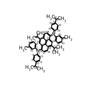 Cc1cccc(N(c2ccc(C(C)C)cc2)c2ccc3c(C(C)C)cc4c(N(c5ccc(C(C)C)cc5)c5cccc(C)c5)ccc5c(C(C)C)cc2c3c54)c1